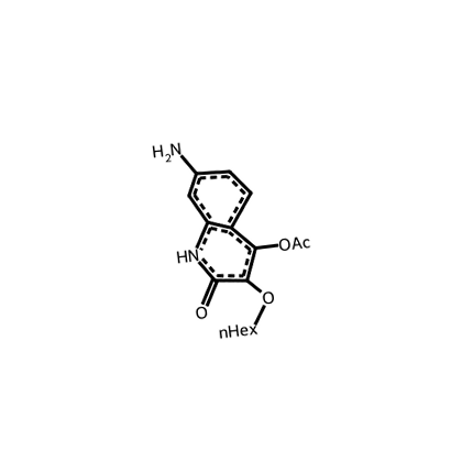 CCCCCCOc1c(OC(C)=O)c2ccc(N)cc2[nH]c1=O